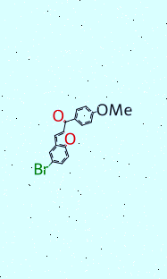 COc1ccc(C(=O)c2cc3cc(Br)ccc3o2)cc1